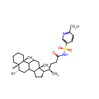 CC[C@H]1CC2C3CC[C@H]([C@H](C)CCC(=O)NS(=O)(=O)c4ccc(C(=O)O)nc4)[C@@]3(C)CCC2[C@@]2(C)CCCC[C@@H]12